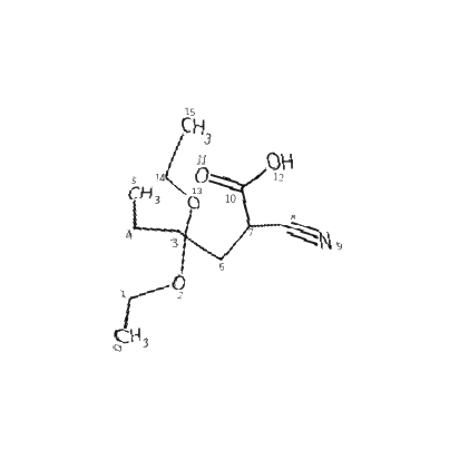 CCOC(CC)(CC(C#N)C(=O)O)OCC